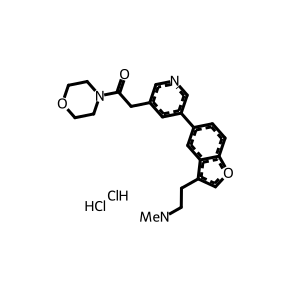 CNCCc1coc2ccc(-c3cncc(CC(=O)N4CCOCC4)c3)cc12.Cl.Cl